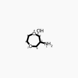 Cl.NC1COCCOC1